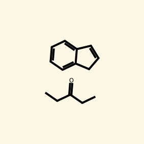 C1=Cc2ccccc2C1.CCC(=O)CC